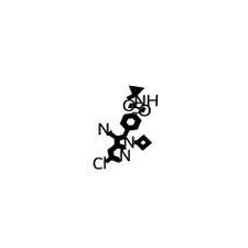 CC1(NS(=O)(=O)c2ccc(-c3c(C#N)c4cc(Cl)cnc4n3C3CCC3)cc2)CC1